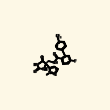 Cn1nccc1[C@@]1(CNC(=O)c2ccc(F)cc2-c2ccc(C(F)(F)F)cc2)NC(=O)NC1=O